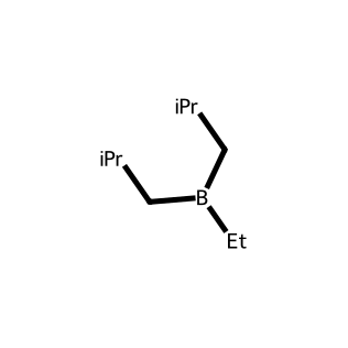 CCB(CC(C)C)CC(C)C